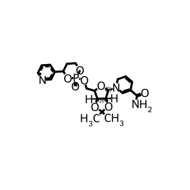 CC1(C)O[C@@H]2[C@H](O1)C(COP1(=O)OCCC(c3cccnc3)O1)O[C@H]2N1C=C(C(N)=O)C=CC1